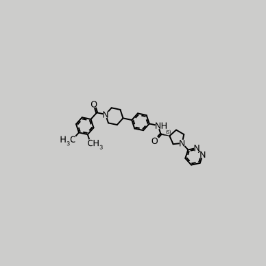 Cc1ccc(C(=O)N2CCC(c3ccc(NC(=O)[C@H]4CCN(c5cccnn5)C4)cc3)CC2)cc1C